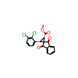 COC(=O)[C@H]1[C@H](c2cccc(Cl)c2Cl)C12C(=O)c1ccccc1C2=O